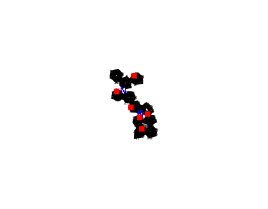 c1ccc(-c2cc(-c3ccccc3)cc(-n3c4ccccc4c4cc(-c5ccc6c(c5)C5CCCCC5N6c5cccc([Si](c6ccccc6)(c6ccccc6)c6ccccc6)c5)ccc43)c2)cc1